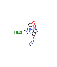 CN1CCN(c2cc(OCCN3CCCC3)cc3ncnc(Nc4cccc5c4OCO5)c23)CC1.Cl.Cl.Cl